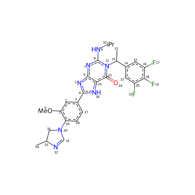 COc1cc(-c2nc3nc(NC(C)C)n(C(C)c4cc(F)c(F)c(F)c4)c(=O)c3[nH]2)ccc1N1C=NC(C)C1